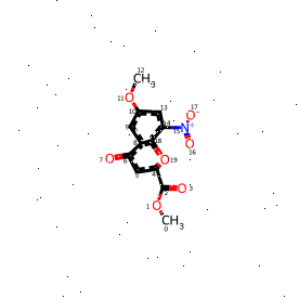 COC(=O)c1cc(=O)c2cc(OC)cc([N+](=O)[O-])c2o1